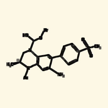 CC(=O)N1c2cc(N)c(-c3ccc(S(C)(=O)=O)cc3)cc2N(C(O)OC(C)C)C[C@@H]1C